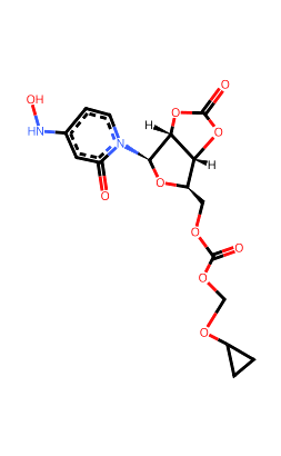 O=C(OCOC1CC1)OC[C@H]1O[C@@H](n2ccc(NO)cc2=O)[C@@H]2OC(=O)O[C@@H]21